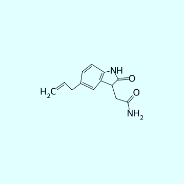 C=CCc1ccc2c(c1)C(CC(N)=O)C(=O)N2